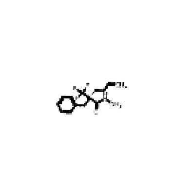 C=CCC[C@@](Cc1ccccc1)(C(=O)NN)C(F)(F)F